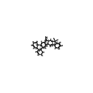 CC1(C)C2=CC3Nc4cc5c(cc4C3C=C2c2ccccc21)C1=C(C=CCC1)C1C=CC=CC51